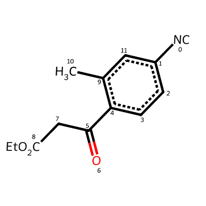 [C-]#[N+]c1ccc(C(=O)CC(=O)OCC)c(C)c1